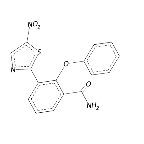 NC(=O)c1cccc(-c2ncc([N+](=O)[O-])s2)c1Oc1ccccc1